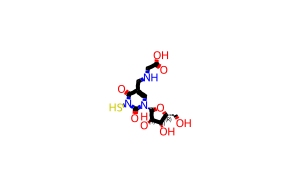 O=C(O)CNCc1cn([C@@H]2O[C@H](CO)[C@@H](O)[C@H]2O)c(=O)n(S)c1=O